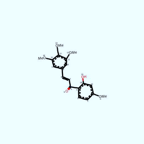 COc1ccc(C(=O)/C=C/c2cc(OC)c(OC)c(OC)c2)c(O)c1